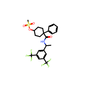 CC(NC(=O)C1(c2ccccc2)CCC(OS(C)(=O)=O)CC1)c1cc(C(F)(F)F)cc(C(F)(F)F)c1